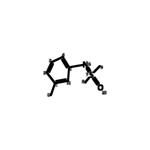 Cc1cccc(N=S(C)(C)=O)c1